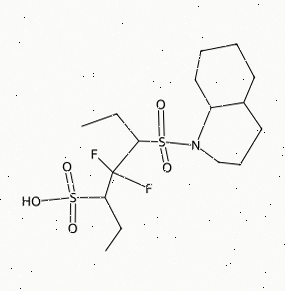 CCC(C(F)(F)C(CC)S(=O)(=O)N1CCCC2CCCCC21)S(=O)(=O)O